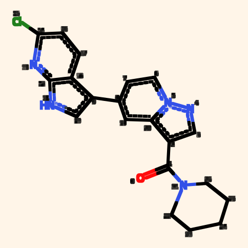 O=C(c1cnn2ccc(-c3c[nH]c4nc(Cl)ccc34)cc12)N1CCCCC1